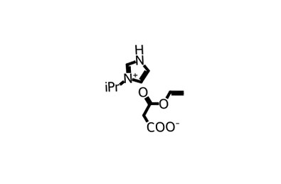 C=COC(=O)CC(=O)[O-].CC(C)[n+]1cc[nH]c1